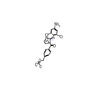 Nc1cc(Cl)c(/N=C2\NCCN2C(=O)c2ccc(CO[N+](=O)[O-])cc2)c(Cl)c1